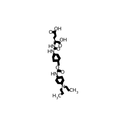 CCCN(CCC)c1ccc(NC(=O)OCc2ccc(NC(=O)N[C@@H](CCC(=O)O)C(=O)O)cc2)cc1